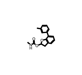 CNC(=O)OC1Cc2cccc(-c3cccc(C)c3)c2O1